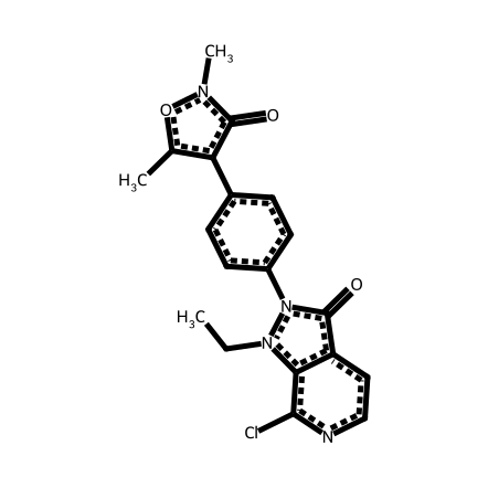 CCn1c2c(Cl)nccc2c(=O)n1-c1ccc(-c2c(C)on(C)c2=O)cc1